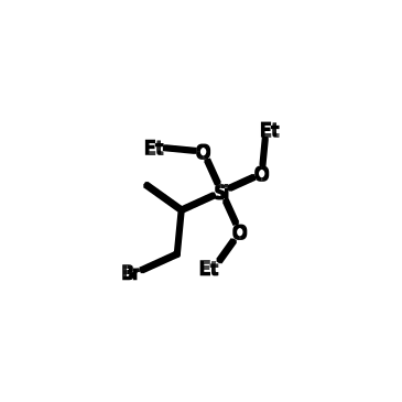 CCO[Si](OCC)(OCC)C(C)CBr